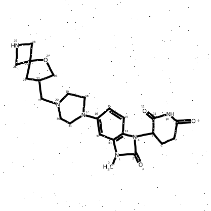 Cn1c(=O)n(C2CCC(=O)NC2=O)c2ccc(N3CCN(CC4COC5(CNC5)C4)CC3)cc21